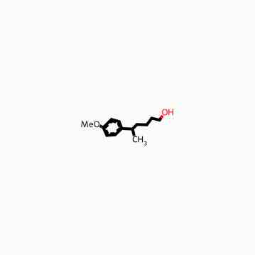 COc1ccc(C(C)CCCCO)cc1